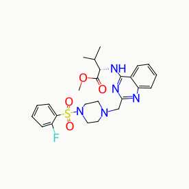 COC(=O)[C@@H](Nc1nc(CN2CCN(S(=O)(=O)c3ccccc3F)CC2)nc2ccccc12)C(C)C